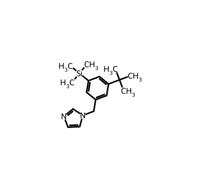 CC(C)(C)c1cc(Cn2ccnc2)cc([Si](C)(C)C)c1